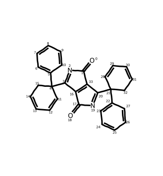 O=c1nc(C2(c3ccccc3)C=CC=CC2)c2c(=O)nc(C3(c4ccccc4)C=CC=CC3)c1=2